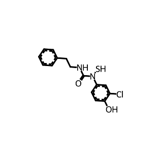 O=C(NCCc1ccccc1)N(S)c1ccc(O)c(Cl)c1